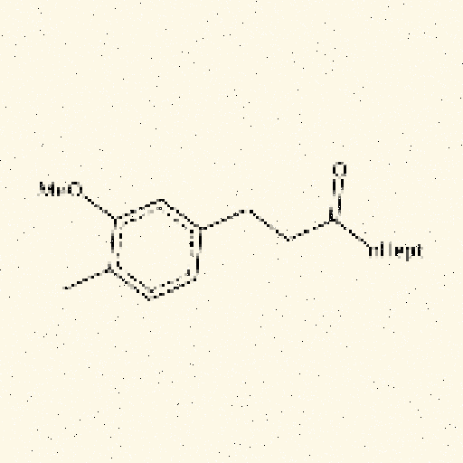 CCCCCCCC(=O)CCc1ccc(C)c(OC)c1